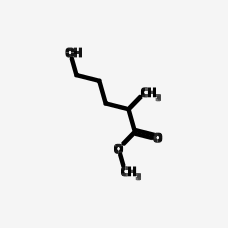 COC(=O)C(C)CCCO